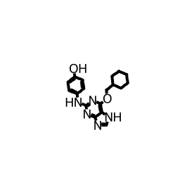 Oc1ccc(Nc2nc(OCC3CCCCC3)c3[nH]cnc3n2)cc1